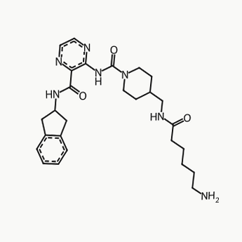 NCCCCCC(=O)NCC1CCN(C(=O)Nc2nccnc2C(=O)NC2Cc3ccccc3C2)CC1